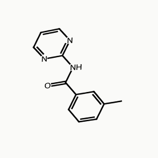 Cc1cccc(C(=O)Nc2ncccn2)c1